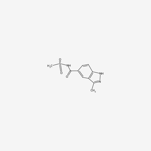 Cc1n[nH]c2ccc(C(=O)NS(C)(=O)=O)cc12